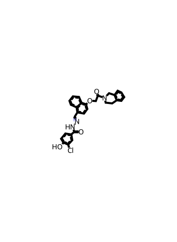 O=C(N/N=C/c1ccc(OCC(=O)N2CCc3ccccc3C2)c2ccccc12)c1ccc(O)c(Cl)c1